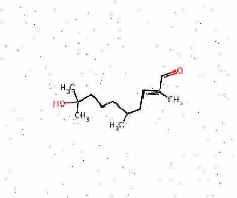 C/C(C=O)=C\CC(C)CCCC(C)(C)O